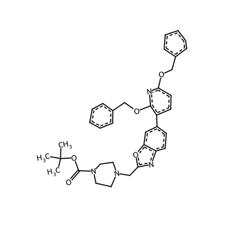 CC(C)(C)OC(=O)N1CCN(Cc2nc3ccc(-c4ccc(OCc5ccccc5)nc4OCc4ccccc4)cc3o2)CC1